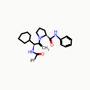 C=C([C@@H](NC(=O)C(C)C)C1CCCCC1)N1CCC[C@H]1C(=O)Nc1ccccc1